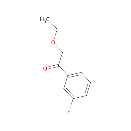 CCOCC(=O)c1cccc(F)c1